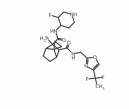 CC(F)(F)c1coc(CNC(=O)C2C3CCC(C34CC4)C2(N)C(=O)NC2CCNCC2F)n1